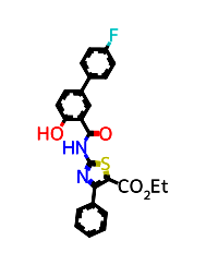 CCOC(=O)c1sc(NC(=O)c2cc(-c3ccc(F)cc3)ccc2O)nc1-c1ccccc1